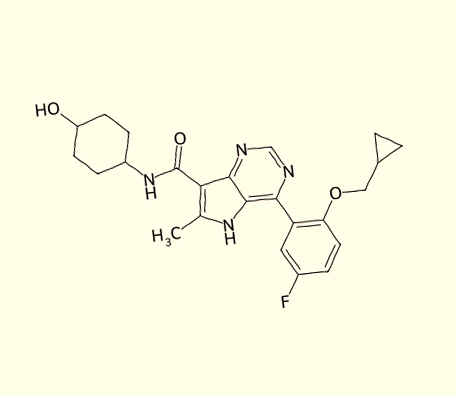 Cc1[nH]c2c(-c3cc(F)ccc3OCC3CC3)ncnc2c1C(=O)NC1CCC(O)CC1